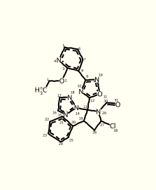 CCOc1ncccc1-c1noc(C2(n3nccn3)C(c3ccccc3)CC(Cl)N2C=O)n1